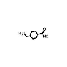 NCC1CCC(C(=O)N=O)CC1